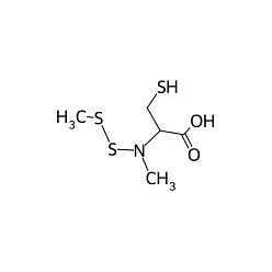 CSSN(C)C(CS)C(=O)O